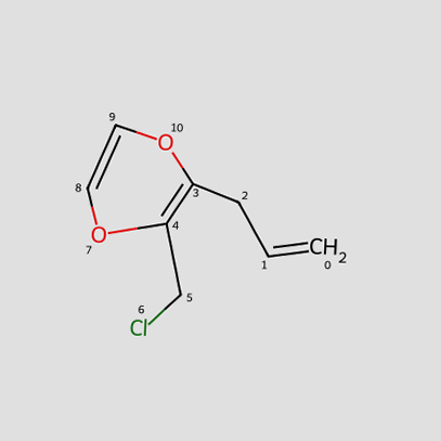 C=CCC1=C(CCl)OC=CO1